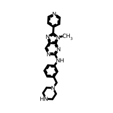 Cn1c(-c2ccncc2)nc2cnc(Nc3cccc(CN4CCNCC4)c3)nc21